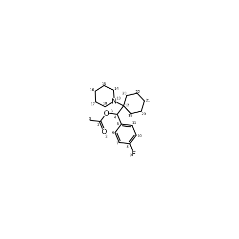 CC(=O)OC(c1ccc(F)cc1)C1(N2CCCCC2)CCCCC1